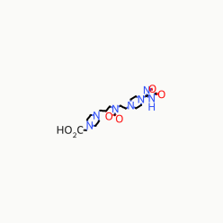 O=C(O)CN1CCN(CC2CN(CCN3CCN(c4noc(=O)[nH]4)CC3)C(=O)O2)CC1